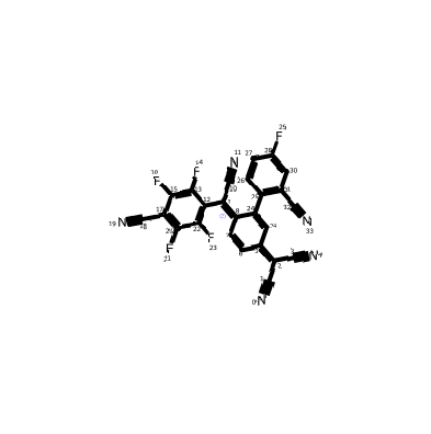 N#CC(C#N)=c1cc/c(=C(/C#N)c2c(F)c(F)c(C#N)c(F)c2F)c(-c2ccc(F)cc2C#N)c1